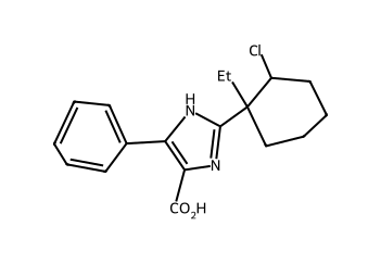 CCC1(c2nc(C(=O)O)c(-c3ccccc3)[nH]2)CCCCC1Cl